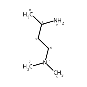 C[C](N)CCN(C)C